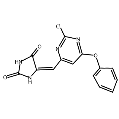 O=C1NC(=O)/C(=C\c2cc(Oc3ccccc3)nc(Cl)n2)N1